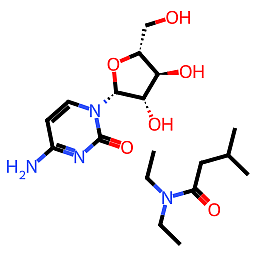 CCN(CC)C(=O)CC(C)C.Nc1ccn([C@@H]2O[C@H](CO)[C@@H](O)[C@@H]2O)c(=O)n1